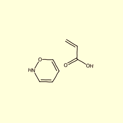 C1=CNOC=C1.C=CC(=O)O